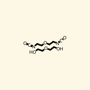 O=C=NCCOCCN=C=O.OCCOCCO